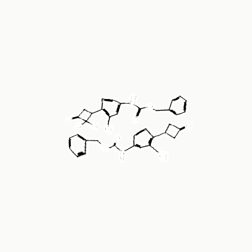 O=C(Nc1ccc(C2CC(=O)C2(Cl)Cl)c(Cl)c1)OCc1ccccc1.O=C1CC(c2ccc(NC(=O)OCc3ccccc3)cc2Cl)C1